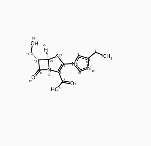 CCc1cn(C2=C(C(=O)O)N3C(=O)[C@H](CO)[C@H]3S2)cn1